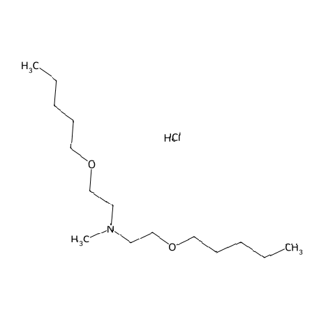 CCCCCOCCN(C)CCOCCCCC.Cl